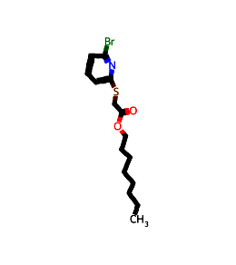 CCCCCCCCOC(=O)CSc1cccc(Br)n1